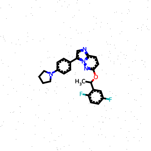 CC(Oc1ccc2ncc(-c3ccc(N4CCCC4)cc3)n2n1)c1cc(F)ccc1F